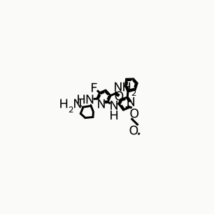 COCCOc1cc(Nc2nc(N[C@@H]3CCCC[C@@H]3N)c(F)cc2C(N)=O)cc(-c2ccccc2)n1